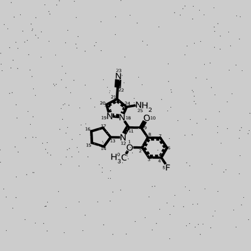 COc1cc(F)ccc1C(=O)C(=NC1CCCC1)n1ncc(C#N)c1N